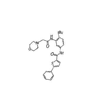 CC(C)(C)c1ccc(NC(=O)c2ccc(-c3ccccc3)s2)cc1NC(=O)CN1CCOCC1